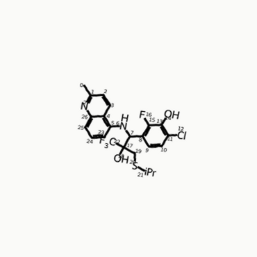 Cc1ccc2c(NC(c3ccc(Cl)c(O)c3F)C(O)(CSC(C)C)C(F)(F)F)cccc2n1